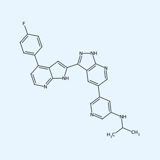 CC(C)Nc1cncc(-c2cnc3[nH]nc(-c4cc5c(-c6ccc(F)cc6)ccnc5[nH]4)c3c2)c1